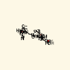 Cc1ncsc1-c1ccc([C@H](C)NC(=O)[C@@H]2C[C@@H](O)CN2C(=O)C(NC(=O)CCCCCNC(=O)CO[C@H]2C[C@@H](C(=O)N3CCOC(c4ccccc4)C3)N(C(=O)C(NC(=O)c3cc4cc(C(F)(F)P(=O)(O)O)ccc4s3)C(C)(C)C)C2)C(C)(C)C)cc1